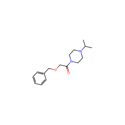 CC(C)N1CCN(C(=O)COCc2ccccc2)CC1